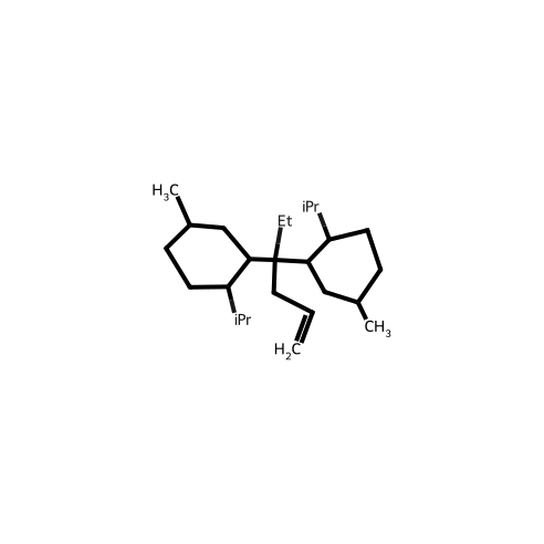 C=CCC(CC)(C1CC(C)CCC1C(C)C)C1CC(C)CCC1C(C)C